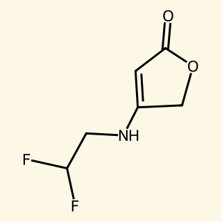 O=C1C=C(NCC(F)F)CO1